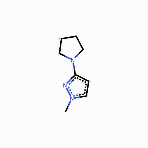 Cn1ccc(N2C[CH]CC2)n1